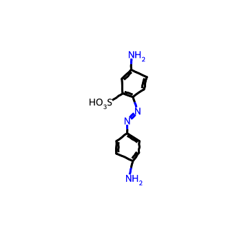 Nc1ccc(N=Nc2ccc(N)cc2S(=O)(=O)O)cc1